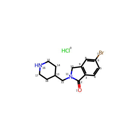 Cl.O=C1c2ccc(Br)cc2CN1CC1CCNCC1